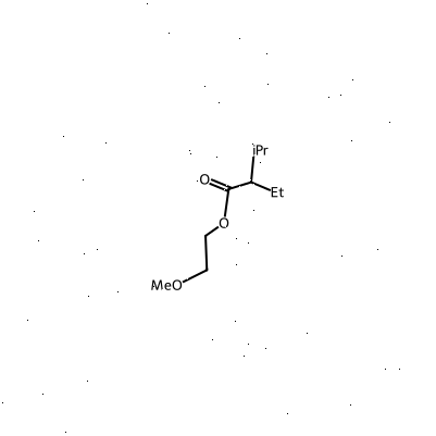 CCC(C(=O)OCCOC)C(C)C